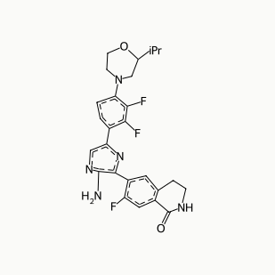 CC(C)C1CN(c2ccc(-c3cnc(N)c(-c4cc5c(cc4F)C(=O)NCC5)n3)c(F)c2F)CCO1